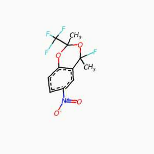 CC1(F)OC(C)(C(F)(F)F)Oc2ccc([N+](=O)[O-])cc21